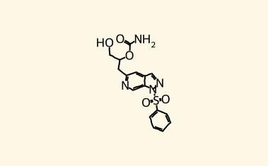 NC(=O)OC(CO)Cc1cc2cnn(S(=O)(=O)c3ccccc3)c2cn1